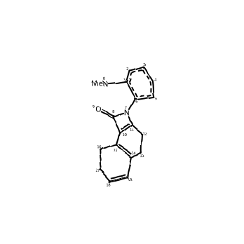 CNc1ccccc1N1C(=O)C2=C1CCC1=C2CCC=C1